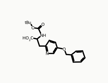 CC(C)(C)OC(=O)NC(Cc1ccc(OCc2ccccc2)cn1)C(=O)O